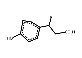 O=C(O)CC(Br)c1ccc(O)cc1